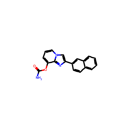 NC(=O)Oc1cccn2cc(-c3ccc4ccccc4c3)nc12